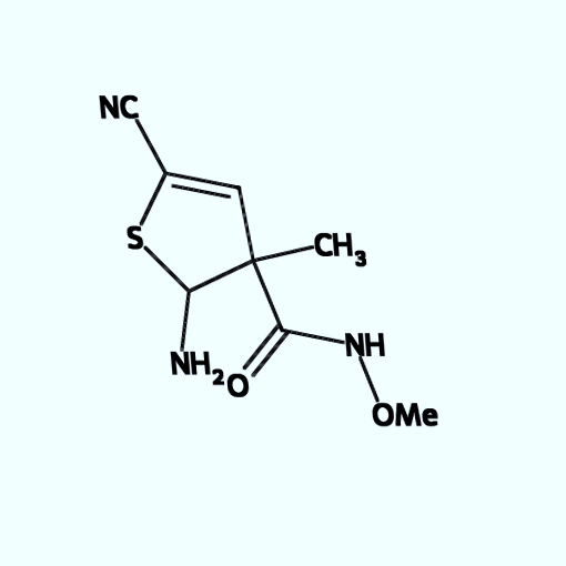 CONC(=O)C1(C)C=C(C#N)SC1N